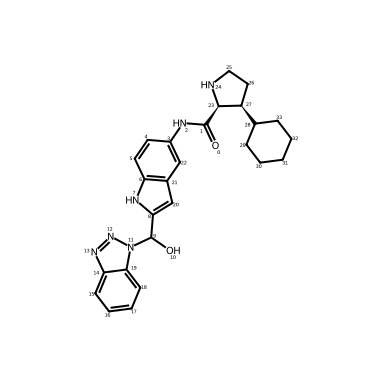 O=C(Nc1ccc2[nH]c(C(O)n3nnc4ccccc43)cc2c1)[C@H]1NCC[C@H]1C1CCCCC1